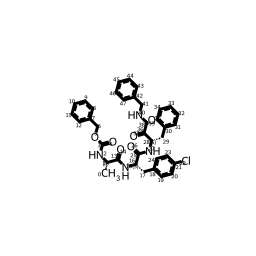 C[C@H](NC(=O)OCc1ccccc1)C(=O)N[C@@H](Cc1ccc(Cl)cc1)C(=O)N[C@@H](Cc1ccccc1)C(=O)C(=O)NCc1ccccc1